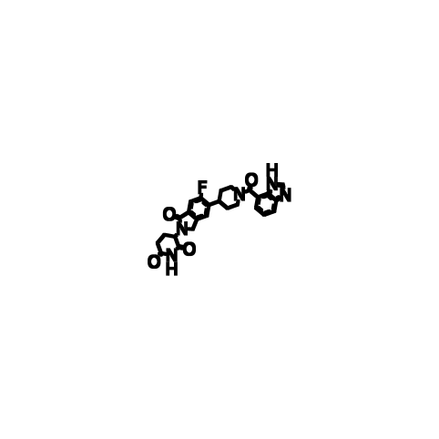 O=C1CCC(N2Cc3cc(C4CCN(C(=O)c5cccc6nc[nH]c56)CC4)c(F)cc3C2=O)C(=O)N1